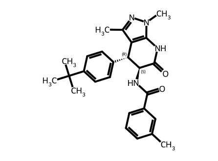 Cc1cccc(C(=O)N[C@@H]2C(=O)Nc3c(c(C)nn3C)[C@H]2c2ccc(C(C)(C)C)cc2)c1